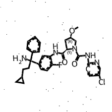 CO[C@@H]1C[C@H](C(=O)Nc2cc(C(N)(CCC3CC3)c3ccccc3)ccc2F)N(C(=O)Nc2ccc(Cl)cn2)C1